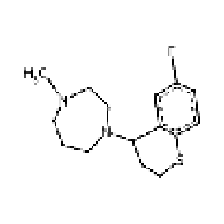 CN1CCCN(C2CCSc3ccc(F)cc32)CC1